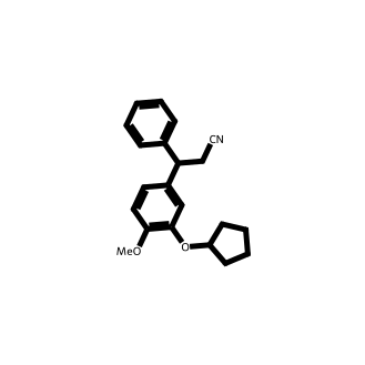 COc1ccc(C(CC#N)c2ccccc2)cc1OC1CCCC1